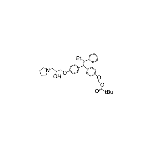 CCC(=C(c1ccc(OCOC(=O)C(C)(C)C)cc1)c1ccc(OCC(O)CN2CCCC2)cc1)c1ccccc1